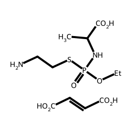 CCOP(=O)(NC(C)C(=O)O)SCCN.O=C(O)/C=C/C(=O)O